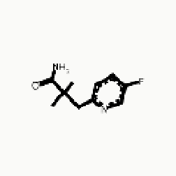 CC(C)([CH]c1ccc(F)cn1)C(N)=O